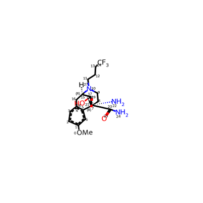 COc1ccc2c(c1)[C@]13CCN(CCCC(F)(F)F)[C@H](C2)[C@]1(O)CC[C@@](N)(C(N)=O)C3